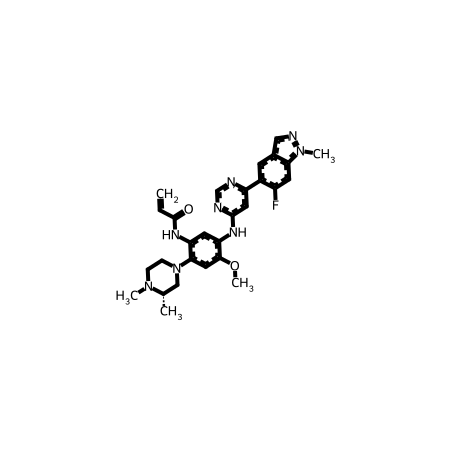 C=CC(=O)Nc1cc(Nc2cc(-c3cc4cnn(C)c4cc3F)ncn2)c(OC)cc1N1CCN(C)[C@@H](C)C1